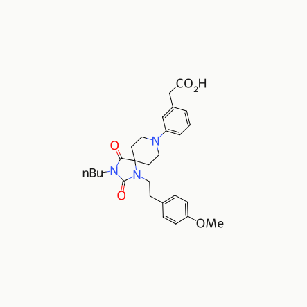 CCCCN1C(=O)N(CCc2ccc(OC)cc2)C2(CCN(c3cccc(CC(=O)O)c3)CC2)C1=O